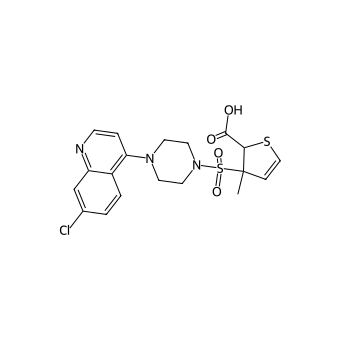 CC1(S(=O)(=O)N2CCN(c3ccnc4cc(Cl)ccc34)CC2)C=CSC1C(=O)O